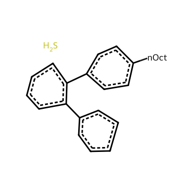 CCCCCCCCc1ccc(-c2ccccc2-c2ccccc2)cc1.S